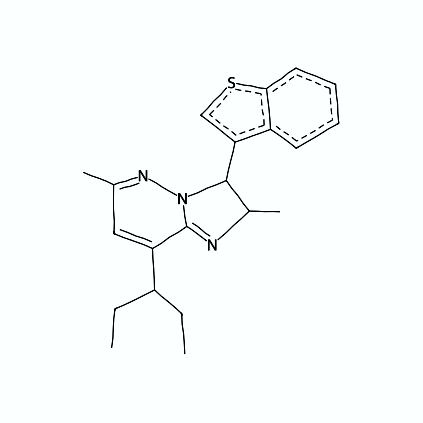 CCC(CC)C1=CC(C)=NN2C1=NC(C)C2c1csc2ccccc12